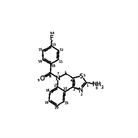 Nc1nc2c(s1)CN(C(=O)c1ccc(F)cc1)c1ccccc1-2